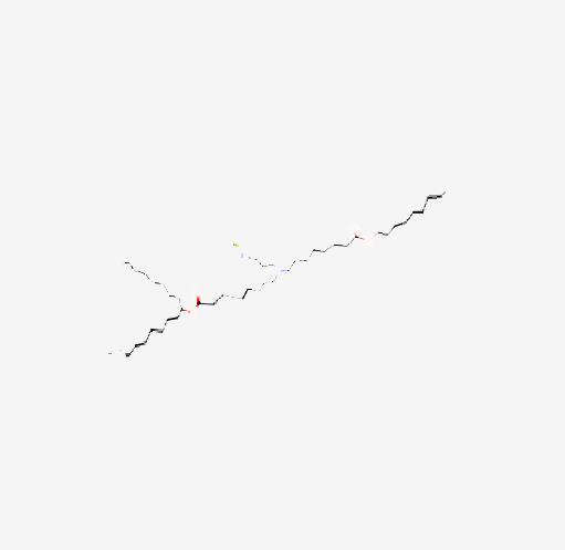 CCCCCCCCCOC(=O)CCCCCCCN(CCCCCCCC(=O)OC(CCCCCCCC)CCCCCCCC)CCCNSC